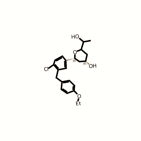 CCOc1ccc(Cc2cc([C@H]3C[C@@H](O)CC(C(C)O)O3)ccc2Cl)cc1